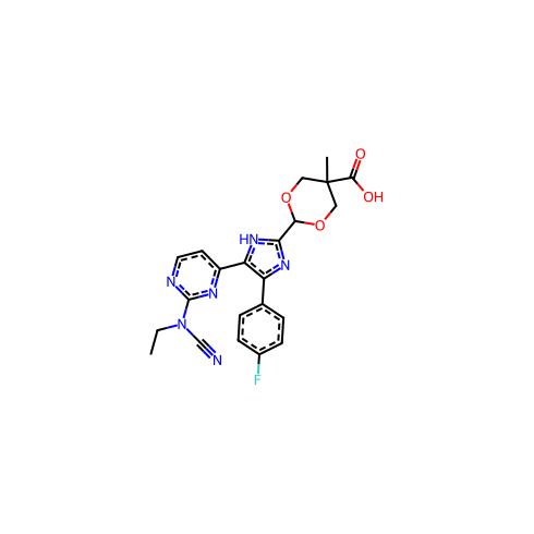 CCN(C#N)c1nccc(-c2[nH]c(C3OCC(C)(C(=O)O)CO3)nc2-c2ccc(F)cc2)n1